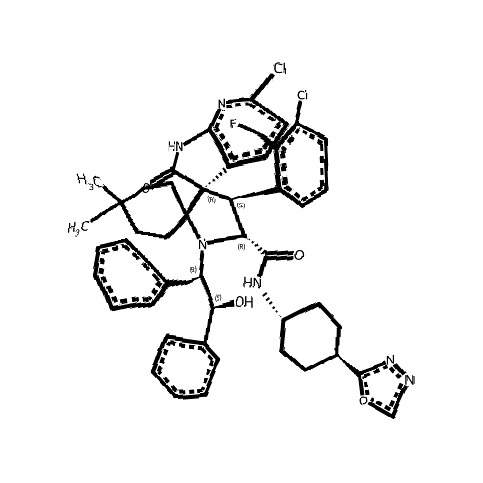 CC1(C)CCC2(CC1)N([C@H](c1ccccc1)[C@@H](O)c1ccccc1)[C@@H](C(=O)N[C@H]1CC[C@H](c3nnco3)CC1)[C@H](c1cccc(Cl)c1F)[C@]21C(=O)Nc2nc(Cl)ccc21